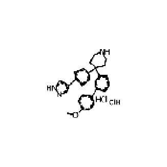 COc1ccc(-c2cccc(C3(c4ccc(-c5cn[nH]c5)cc4)CCNCC3)c2)cc1.Cl.Cl